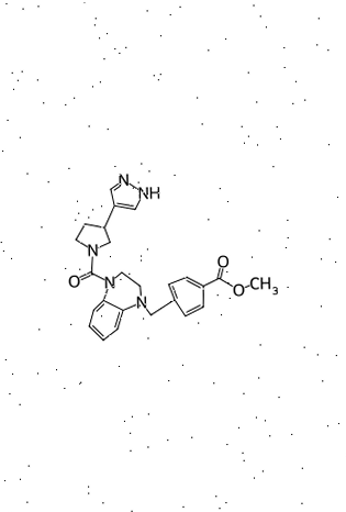 COC(=O)c1ccc(CN2CCN(C(=O)N3CCC(c4cn[nH]c4)C3)c3ccccc32)cc1